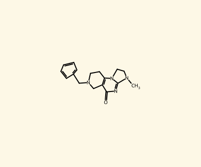 CN1CCn2c1nc(=O)c1c2CCN(Cc2ccccc2)C1